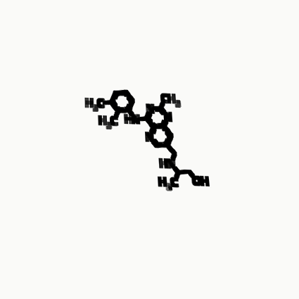 Cc1nc(Nc2cccc(C)c2C)c2ncc(CNC(C)CO)cc2n1